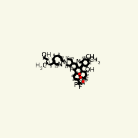 CN(CCO)CC1=C/CC=C=C(N2CCC(c3nc4c(c(C5CCC(F)(F)CC5)c3C(F)c3ccc(C(F)(F)F)cc3)C(O)CC(C)(C)C4)CC2)/N=C\1